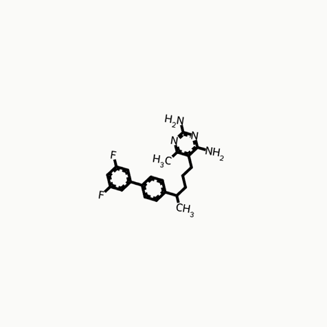 Cc1nc(N)nc(N)c1CCCC(C)c1ccc(-c2cc(F)cc(F)c2)cc1